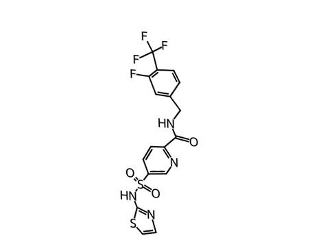 O=C(NCc1ccc(C(F)(F)F)c(F)c1)c1ccc(S(=O)(=O)Nc2nccs2)cn1